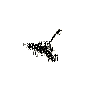 CC1O[C@@H](OC2C(O)[C@@H](NC(=O)CCCCCCCCCCC(=O)O)C(CO)O[C@H]2OC(=O)[C@@]2(CCC(C)(C)C)C(O)CC3(C)C(=CCC4C5(C)CC[C@H](O)C(C)(C=O)C5CCC43C)C2I)C(O)C(O)[C@H]1O[C@@H]1OC[C@@H](O)C(O)C1O